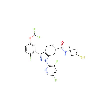 CC1(NC(=O)C2CCc3c(-c4cc(OC(F)F)ccc4F)nn(-c4ncc(F)cc4F)c3C2)CC(S)C1